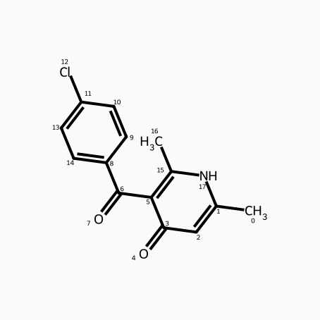 Cc1cc(=O)c(C(=O)c2ccc(Cl)cc2)c(C)[nH]1